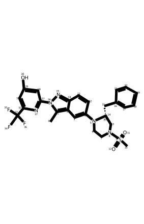 Cc1c2cc(N3CCN(S(C)(=O)=O)C[C@H]3Cc3ccccc3)ccc2nn1-c1cc(O)cc(C(F)(F)F)n1